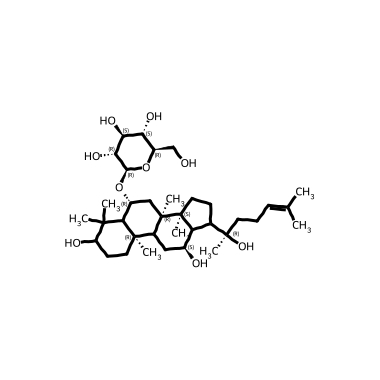 CC(C)=CCC[C@@](C)(O)C1CC[C@@]2(C)C1[C@@H](O)CC1[C@@]3(C)CCC(O)C(C)(C)C3[C@H](O[C@@H]3O[C@H](CO)[C@@H](O)[C@H](O)[C@H]3O)C[C@]12C